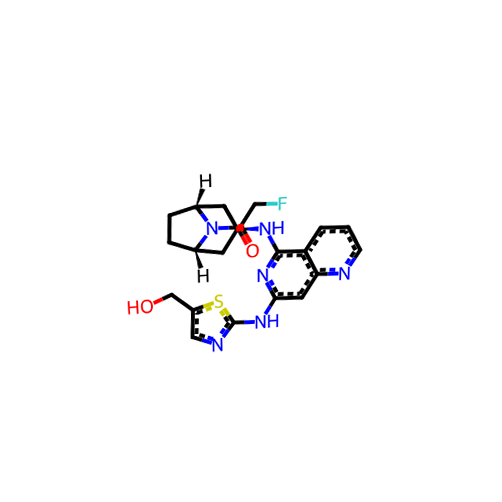 O=C(CF)N1[C@@H]2CC[C@H]1C[C@H](Nc1nc(Nc3ncc(CO)s3)cc3ncccc13)C2